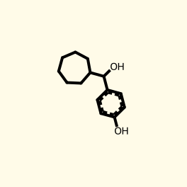 Oc1ccc(C(O)C2CCCCCC2)cc1